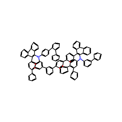 c1ccc(-c2ccc(-c3c(N(c4ccc(-c5ccccc5-c5ccccc5)cc4)c4cccc(-c5cccc(-c6ccc(-c7ccc(-c8c(N(c9cccc(-c%10ccccc%10)c9)c9ccc(-c%10ccccc%10)c(-c%10ccccc%10)c9)c9ccccc9c9ccccc89)cc7)cc6)c5)c4)c4ccccc4c4ccccc34)cc2)cc1